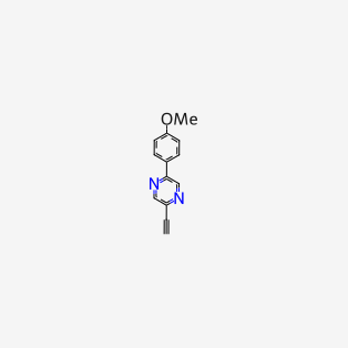 C#Cc1cnc(-c2ccc(OC)cc2)cn1